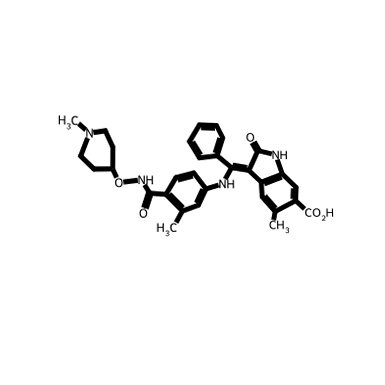 Cc1cc2c(cc1C(=O)O)NC(=O)C2=C(Nc1ccc(C(=O)NOC2CCN(C)CC2)c(C)c1)c1ccccc1